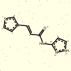 O=C(C=Cc1ccsc1)Nc1cc[nH]n1